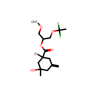 C=C1CC(C)(O)CC(CC)(C(=O)OC(COC=O)COC(C)(F)F)C1